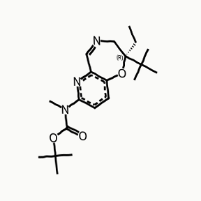 CC[C@@]1(C(C)(C)C)CN=Cc2nc(N(C)C(=O)OC(C)(C)C)ccc2O1